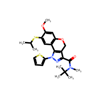 COc1cc2c(cc1SC(C)C)-c1c(c(C(=O)N(C)C(C)(C)C)nn1-c1cccs1)CO2